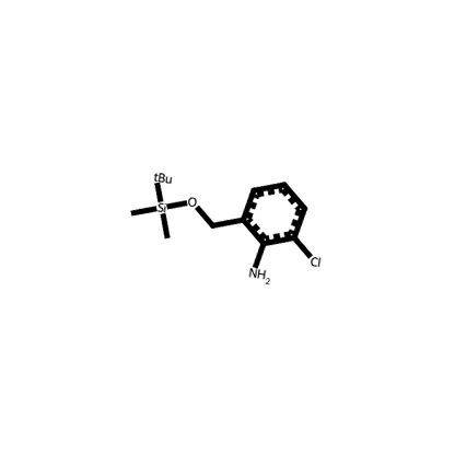 CC(C)(C)[Si](C)(C)OCc1cccc(Cl)c1N